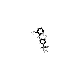 CS(=O)(=O)N1C[C@@H](O)[C@H](Oc2ncccc2[N+](=O)[O-])C1